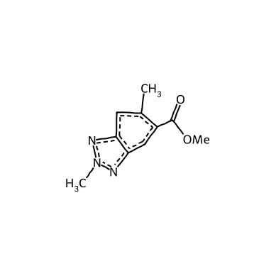 COC(=O)c1cc2nn(C)nc2cc1C